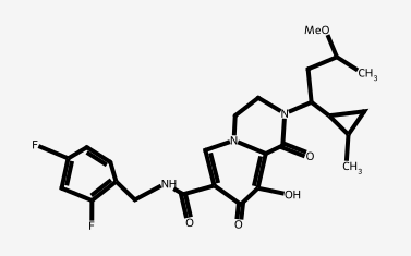 COC(C)CC(C1CC1C)N1CCn2cc(C(=O)NCc3ccc(F)cc3F)c(=O)c(O)c2C1=O